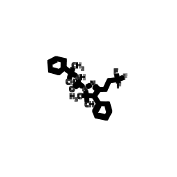 CC(C)(NC(=O)N1N=C(CCC(F)(F)F)C(c2ccccc2)C1(C)C)c1ccccc1